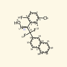 O/N=C(\c1nc(Cl)ccc1F)C(F)(F)c1ccc2ncccc2c1